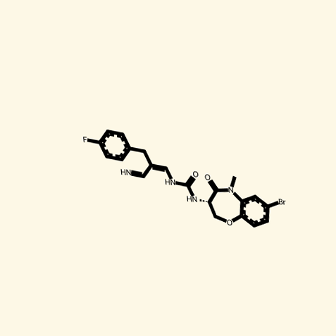 CN1C(=O)[C@@H](NC(=O)N/C=C(\C=N)Cc2ccc(F)cc2)COc2ccc(Br)cc21